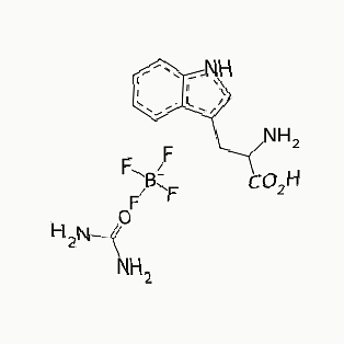 F[B-](F)(F)F.NC(Cc1c[nH]c2ccccc12)C(=O)O.NC(N)=O